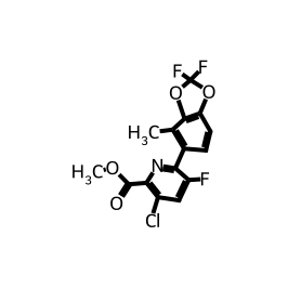 COC(=O)c1nc(-c2ccc3c(c2C)OC(F)(F)O3)c(F)cc1Cl